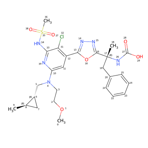 COCCN(C[C@@H]1C[C@H]1C)c1cc(-c2nnc([C@@](C)(Cc3ccccc3)NC(=O)O)o2)c(Cl)c(NS(C)(=O)=O)n1